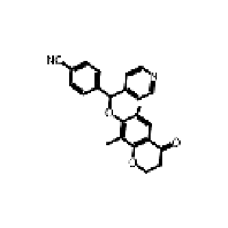 Cc1cc2c(c(C)c1OC(c1ccncc1)c1ccc(C#N)cc1)OCCC2=O